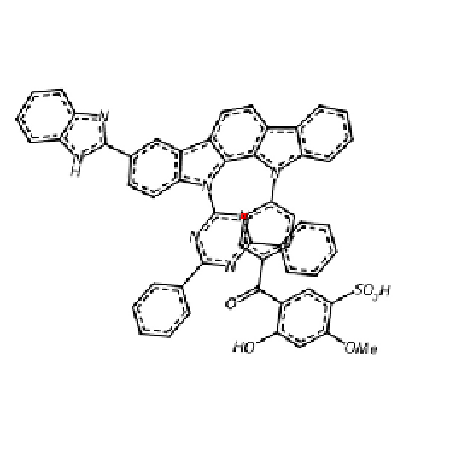 COc1cc(O)c(C(=O)c2ccc(-n3c4ccccc4c4ccc5c6cc(-c7nc8ccccc8[nH]7)ccc6n(-c6nc(-c7ccccc7)nc(-c7ccccc7)n6)c5c43)cc2)cc1S(=O)(=O)O